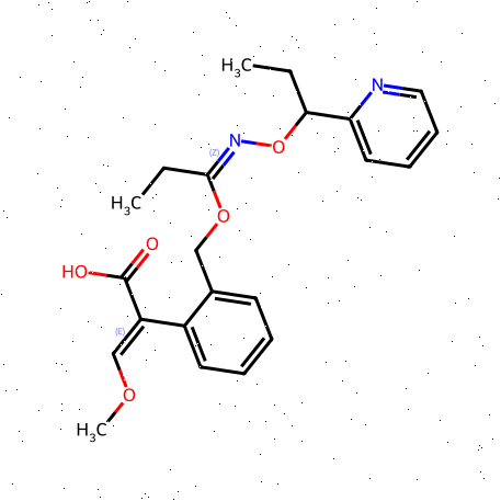 CC/C(=N/OC(CC)c1ccccn1)OCc1ccccc1/C(=C\OC)C(=O)O